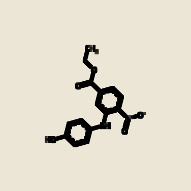 CCOC(=O)c1ccc([N+](=O)[O-])c(Nc2ccc(O)cc2)c1